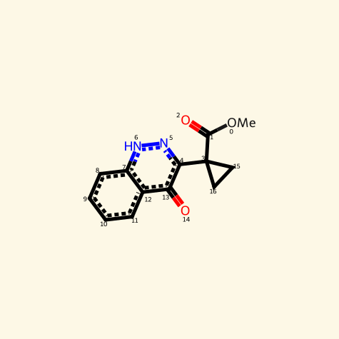 COC(=O)C1(c2n[nH]c3ccccc3c2=O)CC1